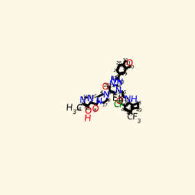 CCc1c(N2CCN(C(=O)c3ncnc(C)c3O)CC2)c(=O)n2nc(-c3ccc4c(c3)COC4)nc2n1CC(=O)Nc1c(Cl)cc(C(F)(F)F)c2c1CC2